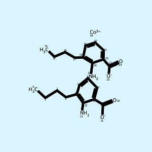 CCCCc1cccc(C(=O)[O-])c1N.CCCCc1cccc(C(=O)[O-])c1N.[Co+2]